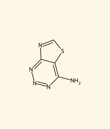 Nc1nnnc2ncsc12